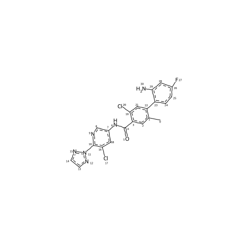 Cc1cc(C(=O)Nc2cnc(-n3nccn3)c(Cl)c2)c(Cl)cc1-c1ccc(F)cc1N